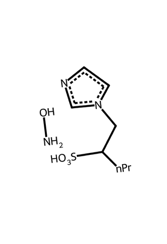 CCCC(Cn1ccnc1)S(=O)(=O)O.NO